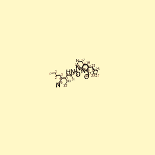 CC/C=C/C(C#N)=C(\C=C(/C)NC(=O)N1CCCc2cc(C=C3CCC3)c(C=O)nc21)CC